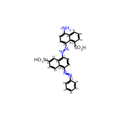 Nc1ccc(/N=N/c2ccc(/N=N/c3ccccc3)c3ccc(S(=O)(=O)O)cc23)c2c(S(=O)(=O)O)cccc12